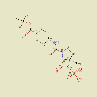 CC(C)(C)OC(=O)N1CCC(NC(=O)N2CC[C@@H]3C2C(=O)N3S(=O)(=O)O)CC1